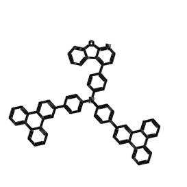 c1ccc2c(c1)oc1nccc(-c3ccc(N(c4ccc(-c5ccc6c7ccccc7c7ccccc7c6c5)cc4)c4ccc(-c5ccc6c7ccccc7c7ccccc7c6c5)cc4)cc3)c12